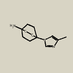 Cc1cn(C23CCC(N)(CC2)CC3)cn1